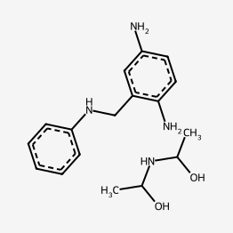 CC(O)NC(C)O.Nc1ccc(N)c(CNc2ccccc2)c1